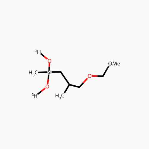 [3H]O[Si](C)(CC(C)COCOC)O[3H]